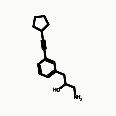 NCC(O)Cc1cccc(C#CC2CCCC2)c1